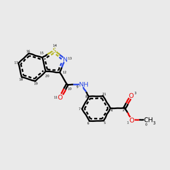 COC(=O)c1cccc(NC(=O)c2nsc3ccccc23)c1